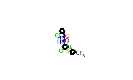 O=C(NC(=O)c1ccccc1Cl)Nc1cc(Cl)c(Sc2ccc(C(F)(F)F)cc2Cl)cc1F